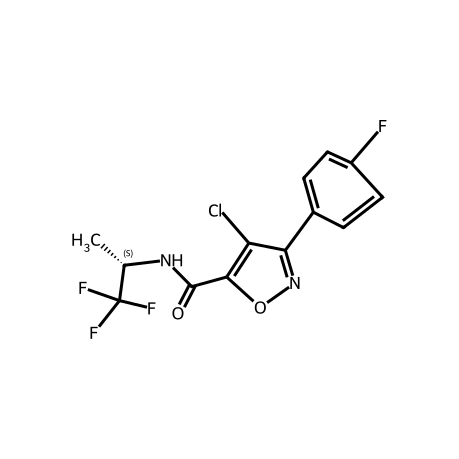 C[C@H](NC(=O)c1onc(-c2ccc(F)cc2)c1Cl)C(F)(F)F